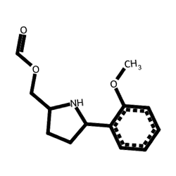 COc1ccccc1C1CCC(COC=O)N1